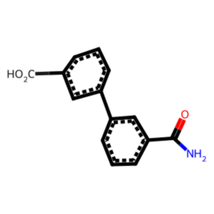 NC(=O)c1cccc(-c2cccc(C(=O)O)c2)c1